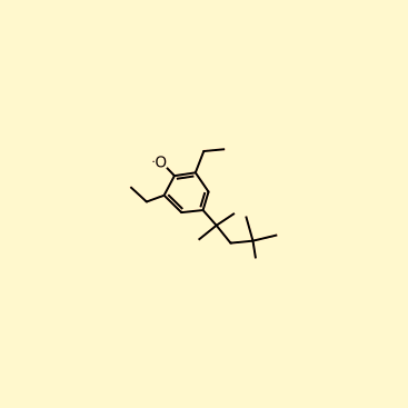 CCc1cc(C(C)(C)CC(C)(C)C)cc(CC)c1[O]